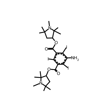 CN1C(C)(C)CC(OC(=O)c2c(I)c(N)c(I)c(C(=O)OC3CC(C)(C)N(C)C3(C)C)c2I)C1(C)C